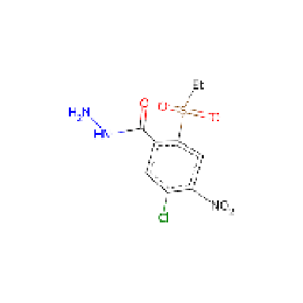 CCS(=O)(=O)c1cc([N+](=O)[O-])c(Cl)cc1C(=O)NN